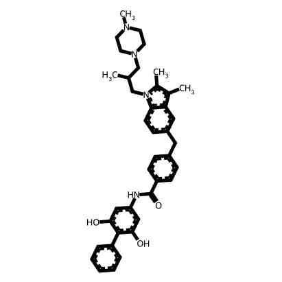 Cc1c(C)n(CC(C)CN2CCN(C)CC2)c2ccc(Cc3ccc(C(=O)Nc4cc(O)c(-c5ccccc5)c(O)c4)cc3)cc12